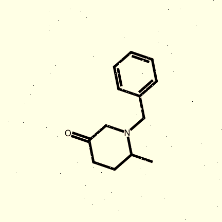 CC1CCC(=O)CN1Cc1ccccc1